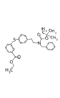 CCOC(=O)c1cccc(Sc2ccc(CCN(Cc3ccccc3)C(=O)OC(C)(C)C)cc2)c1